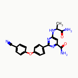 CC(Nc1cc(C(N)=O)nc(-c2ccc(Oc3ccc(C#N)cc3)cc2)n1)C(N)=O